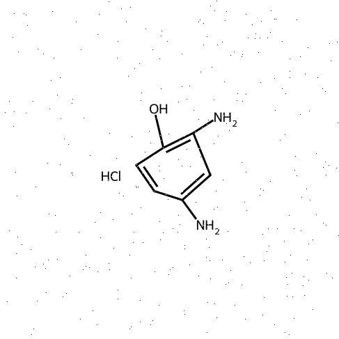 Cl.Nc1ccc(O)c(N)c1